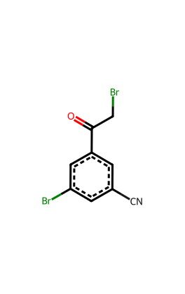 N#Cc1cc(Br)cc(C(=O)CBr)c1